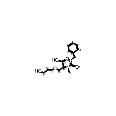 CN(C(=O)OCc1ccccc1)C(COCCCO)C(=O)O